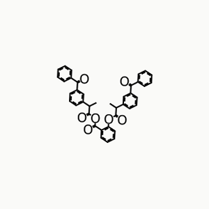 CC(C(=O)OC(=O)c1ccccc1OC(=O)C(C)c1cccc(C(=O)c2ccccc2)c1)c1cccc(C(=O)c2ccccc2)c1